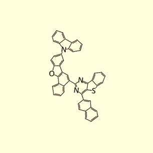 c1ccc2cc(-c3nc(-c4cc5c6cc(-n7c8ccccc8c8ccccc87)ccc6oc5c5ccccc45)nc4c3sc3ccccc34)ccc2c1